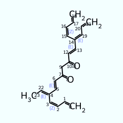 C=C\C=C/C(/C=C/C(=O)CC(=O)/C=C/C(/C=C\C=C)=C/C=C)=C\C